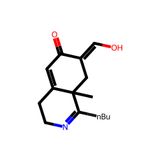 CCCCC1=NCCC2=CC(=O)C(=CO)CC21C